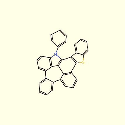 c1ccc(-n2c3cccc4c3c3c5c(cccc5c5sc6ccccc6c5c32)-c2ccccc2-4)cc1